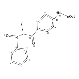 [CH2]C(C(=O)c1ccccc1)C(=O)c1ccc(NCCCCCCCC)cc1